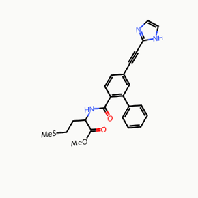 COC(=O)C(CCSC)NC(=O)c1ccc(C#Cc2ncc[nH]2)cc1-c1ccccc1